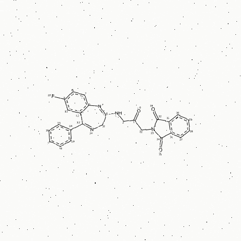 O=C(CNC1=Nc2ccc(F)cc2C(c2ccccc2)=NC1)CN1C(=O)c2ccccc2C1=O